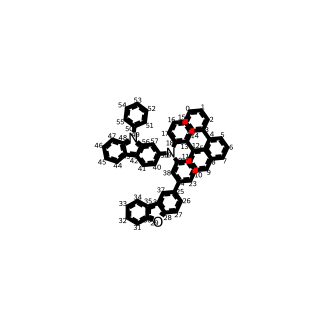 c1ccc(-c2cccc3cccc(-c4ccccc4N(c4cccc(-c5ccc6oc7ccccc7c6c5)c4)c4ccc5c6ccccc6n(-c6ccccc6)c5c4)c23)cc1